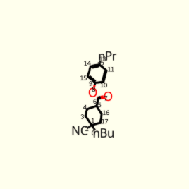 CCCCC1(C#N)CCC(C(=O)Oc2ccc(CCC)cc2)CC1